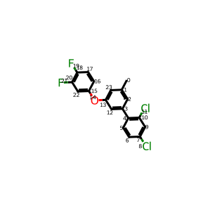 Cc1[c]c(-c2ccc(Cl)cc2Cl)cc(Oc2ccc(F)c(F)c2)c1